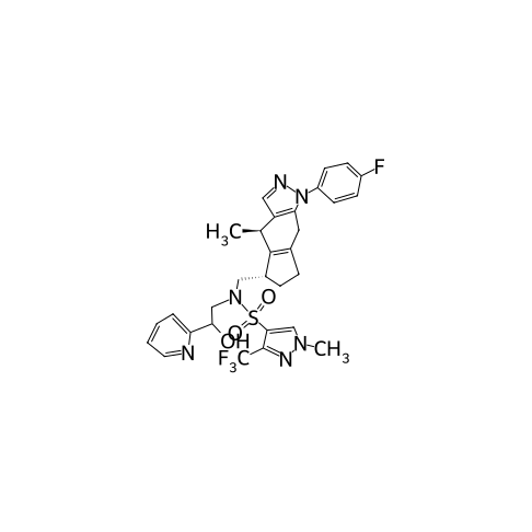 C[C@@H]1C2=C(CC[C@@H]2CN(CC(O)c2ccccn2)S(=O)(=O)c2cn(C)nc2C(F)(F)F)Cc2c1cnn2-c1ccc(F)cc1